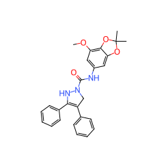 COc1cc(NC(=O)N2CC(c3ccccc3)=C(c3ccccc3)N2)cc2c1OC(C)(C)O2